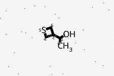 CC(O)C1CSC1